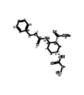 COC(=O)[C@@H]1C[C@H](NC(=O)OC(C)(C)C)CCC1NC(=O)OCc1ccccc1